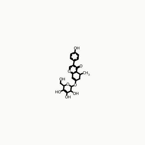 CC1CC(OC2OC(CO)C(O)=C(O)C2O)=Cc2occ(-c3ccc(O)cc3)c(=O)c21